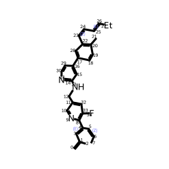 C=C(C)/C=C(\C=C/C)c1ncc(CNc2cc(-c3ccc(C)c(/C=C\C=C\CC)c3)ccn2)cc1F